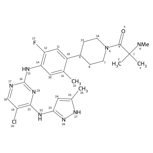 CNC(C)(C)C(=O)N1CCC(c2cc(F)c(Nc3ncc(Cl)c(Nc4cc(C)[nH]n4)n3)cc2C)CC1